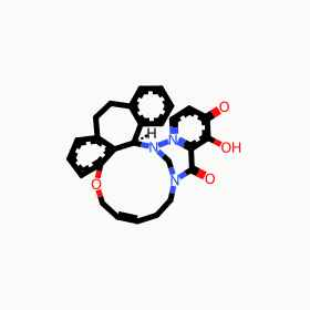 O=C1c2c(O)c(=O)ccn2N2CN1CC/C=C\COc1cccc3c1[C@H]2c1ccccc1CC3